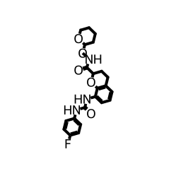 O=C(Nc1ccc(F)cc1)Nc1cccc2c1OC(C(=O)NOC1CCCCO1)CC2